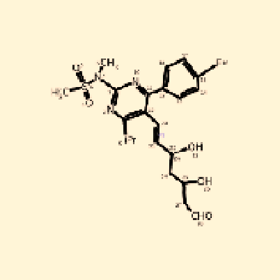 CC(C)c1nc(N(C)S(C)(=O)=O)nc(-c2ccc(F)cc2)c1/C=C/[C@@H](O)CC(O)CC=O